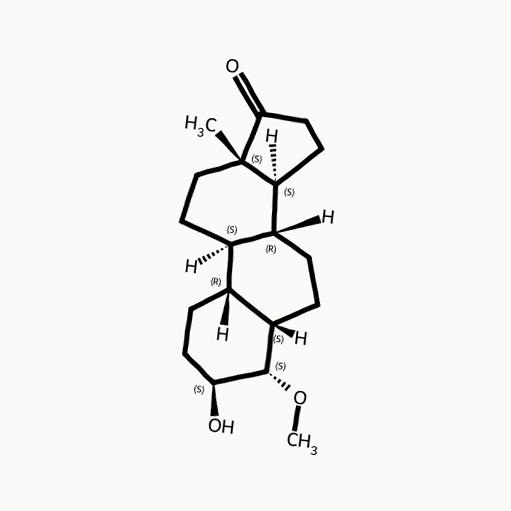 CO[C@H]1[C@H]2CC[C@@H]3[C@H](CC[C@]4(C)C(=O)CC[C@@H]34)[C@H]2CC[C@@H]1O